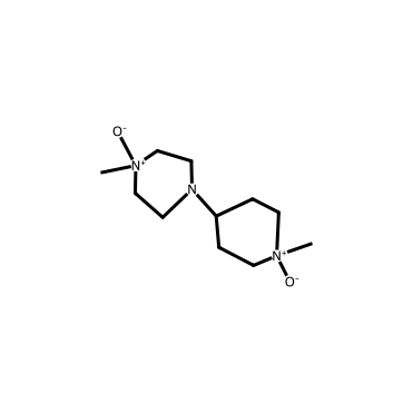 C[N+]1([O-])CCC(N2CC[N+](C)([O-])CC2)CC1